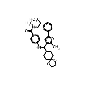 Cc1oc(-c2ccccc2)cc1C(Nc1ccc(C(=O)N(C)CCC(=O)O)cc1)C1CCC2(CC1)OCCO2